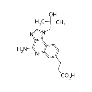 CC(C)(O)Cn1cnc2c(N)nc3cc(CCC(=O)O)ccc3c21